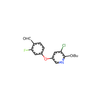 CC(C)COc1ncc(Oc2ccc(C=O)c(F)c2)cc1Cl